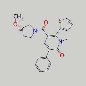 CO[C@H]1CCN(C(=O)c2cc(-c3ccccc3)c(=O)n3c2-c2sccc2C3)C1